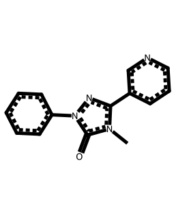 Cn1c(-c2cccnc2)nn(-c2ccccc2)c1=O